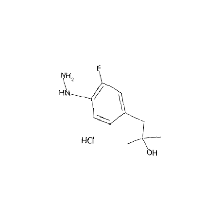 CC(C)(O)Cc1ccc(NN)c(F)c1.Cl